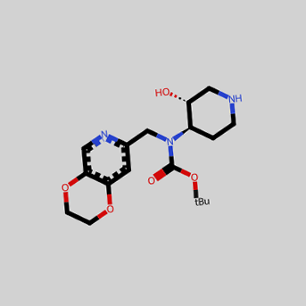 CC(C)(C)OC(=O)N(Cc1cc2c(cn1)OCCO2)[C@@H]1CCNC[C@H]1O